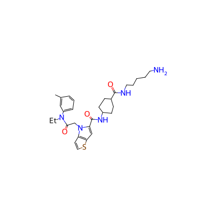 CCN(C(=O)Cn1c(C(=O)NC2CCC(C(=O)NCCCCCN)CC2)cc2sccc21)c1cccc(C)c1